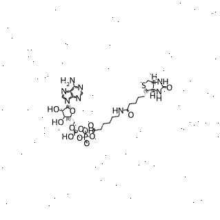 Nc1ncnc2c1ncn2[C@@H]1O[C@H](COP(=O)(O)OP(=O)(O)OC(=O)CCCCCNC(=O)CCCC[C@@H]2SC[C@@H]3NC(=O)N[C@@H]32)C(O)C1O